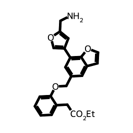 CCOC(=O)Cc1ccccc1OCc1cc(-c2coc(CN)c2)c2occc2c1